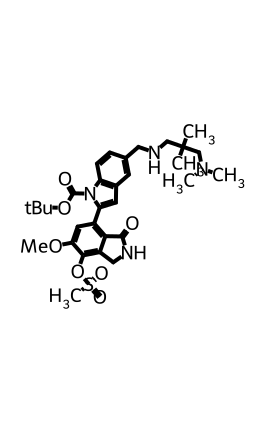 COc1cc(-c2cc3cc(CNCC(C)(C)CN(C)C)ccc3n2C(=O)OC(C)(C)C)c2c(c1OS(C)(=O)=O)CNC2=O